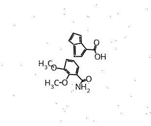 COc1cccc(C(N)=O)c1OC.O=C(O)C1=CC=C2C=CC=C21